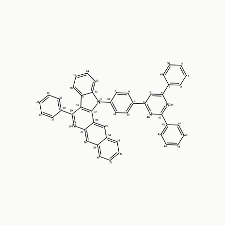 c1ccc(-c2cc(-c3ccc(-n4c5ccccc5c5c(-c6ccccc6)nc6cc7ccccc7cc6c54)cc3)nc(-c3ccccc3)n2)cc1